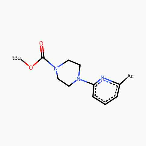 CC(=O)c1cccc(N2CCN(C(=O)OC(C)(C)C)CC2)n1